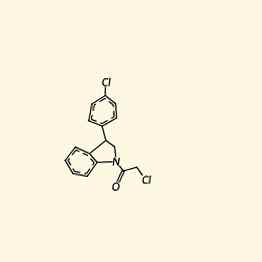 O=C(CCl)N1CC(c2ccc(Cl)cc2)c2ccccc21